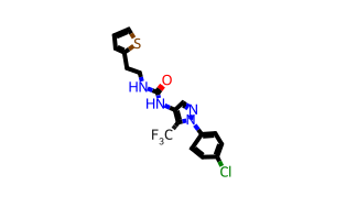 O=C(NCCc1cccs1)Nc1cnn(-c2ccc(Cl)cc2)c1C(F)(F)F